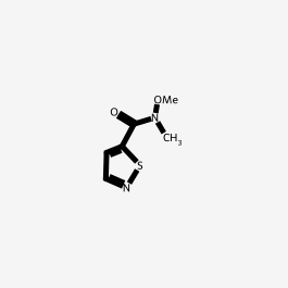 CON(C)C(=O)c1ccns1